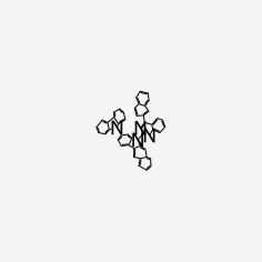 c1ccc2cc(-c3nc(-n4c5cc(-n6c7ccccc7c7ccccc76)ccc5c5cc6ccccc6cc54)nc4ccccc34)ccc2c1